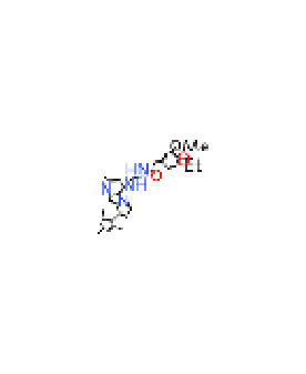 CCOc1ccc(CC(=O)NCCNc2cc(C)nc3cc4c(-c5c(C)cc(C)cc5C)cccn4c23)cc1OC